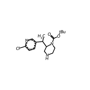 CC(c1ccc(Cl)nc1)C1CNCCN1C(=O)OC(C)(C)C